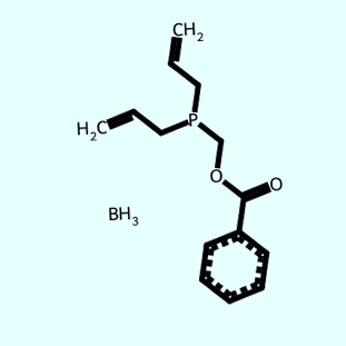 B.C=CCP(CC=C)COC(=O)c1ccccc1